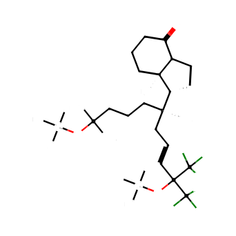 CC(C)(CCC[C@](C)(C/C=C/C(O[Si](C)(C)C)(C(F)(F)F)C(F)(F)F)[C@H]1CCC2C(=O)CCC[C@@]21C)O[Si](C)(C)C